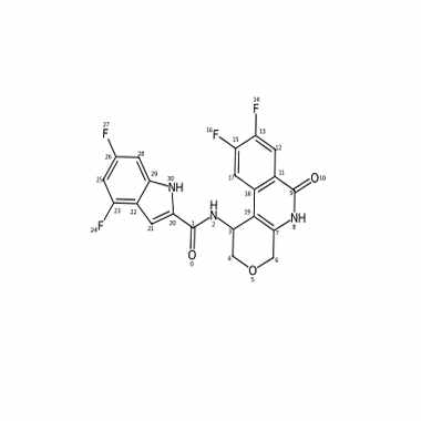 O=C(NC1COCc2[nH]c(=O)c3cc(F)c(F)cc3c21)c1cc2c(F)cc(F)cc2[nH]1